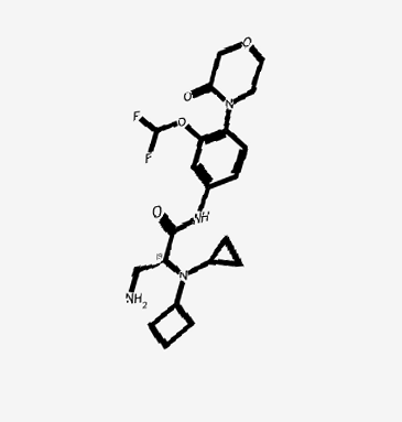 NC[C@@H](C(=O)Nc1ccc(N2CCOCC2=O)c(OC(F)F)c1)N(C1CCC1)C1CC1